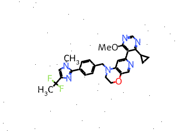 COc1ncnc(C2CC2)c1-c1cc2c(cn1)OCCN2Cc1ccc(-c2nc(C(C)(F)F)cn2C)cc1